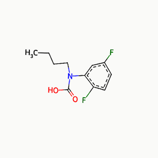 CCCCN(C(=O)O)c1cc(F)ccc1F